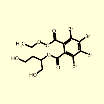 CCOOC(=O)c1c(Br)c(Br)c(Br)c(Br)c1C(=O)OC(CO)CCO